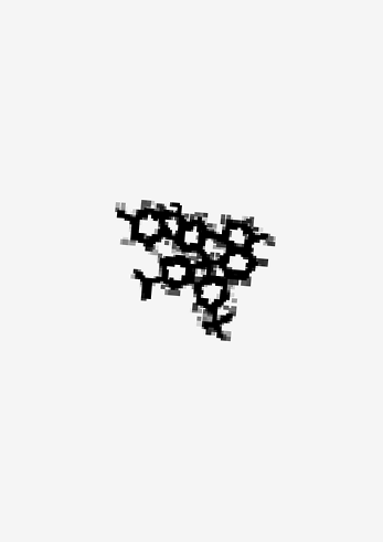 C=C(C)c1ccc(C2(c3ccc(C(C)(C)C)cc3)c3cc4c(cc3-c3ccc(C)c5cccc2c35)oc2cc(C)ccc24)cc1